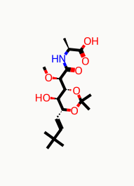 CO[C@@H](C(=O)N[C@@H](C)C(=O)O)[C@@H]1OC(C)(C)O[C@H](/C=C/C(C)(C)C)[C@H]1O